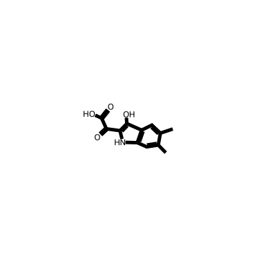 Cc1cc2[nH]c(C(=O)C(=O)O)c(O)c2cc1C